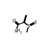 C=C(C(N)=O)S(C)=S